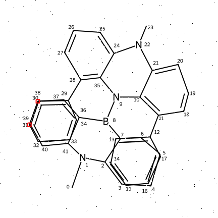 CN1c2ccccc2B(N2c3c(-c4ccccc4)cccc3N(C)c3cccc(-c4ccccc4)c32)c2ccccc21